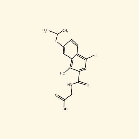 CC(C)Oc1ccc2c(Cl)nc(C(=O)NCC(=O)O)c(O)c2c1